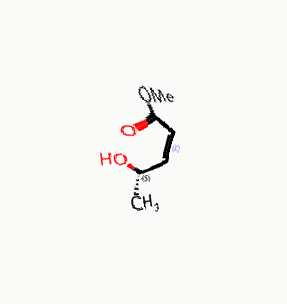 COC(=O)/C=C\[C@H](C)O